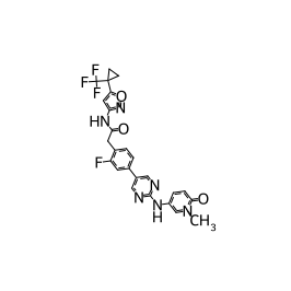 Cn1cc(Nc2ncc(-c3ccc(CC(=O)Nc4cc(C5(C(F)(F)F)CC5)on4)c(F)c3)cn2)ccc1=O